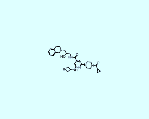 O=C(NCC(O)CN1CCc2ccccc2C1)c1cc(NC2CNC2)nc(N2CCN(C(=O)C3CC3)CC2)n1